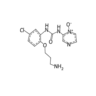 NCCCOc1ccc(Cl)cc1NC(=O)Nc1cncc[n+]1[O-]